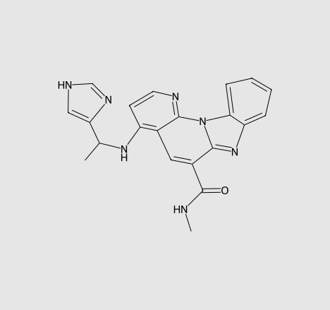 CNC(=O)c1cc2c(NC(C)c3c[nH]cn3)ccnc2n2c1nc1ccccc12